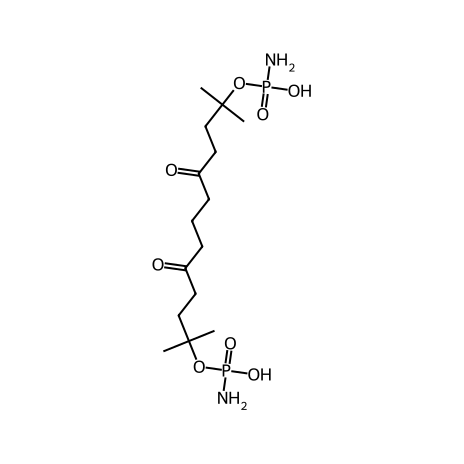 CC(C)(CCC(=O)CCCC(=O)CCC(C)(C)OP(N)(=O)O)OP(N)(=O)O